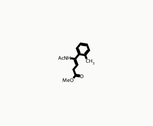 COC(=O)CC=C(NC(C)=O)c1ccccc1C